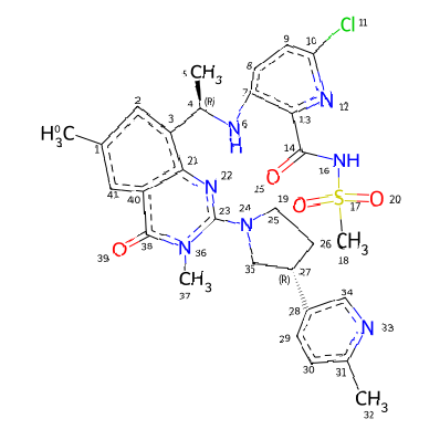 Cc1cc([C@@H](C)Nc2ccc(Cl)nc2C(=O)NS(C)(=O)=O)c2nc(N3CC[C@H](c4ccc(C)nc4)C3)n(C)c(=O)c2c1